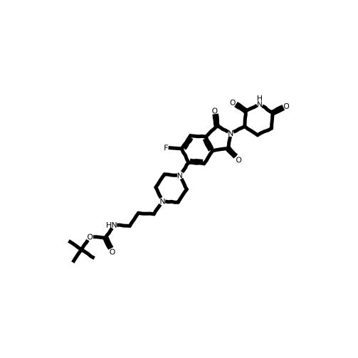 CC(C)(C)OC(=O)NCCCN1CCN(c2cc3c(cc2F)C(=O)N(C2CCC(=O)NC2=O)C3=O)CC1